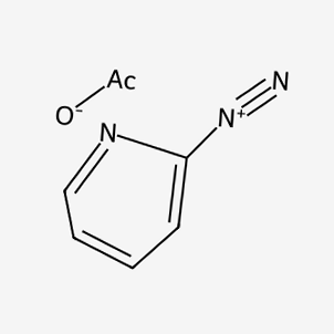 CC(=O)[O-].N#[N+]c1ccccn1